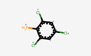 Pc1c(Cl)cc(Cl)cc1Cl